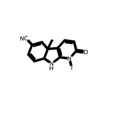 CC12C=C(C#N)C=CC1Nc1c2ccc(=O)n1I